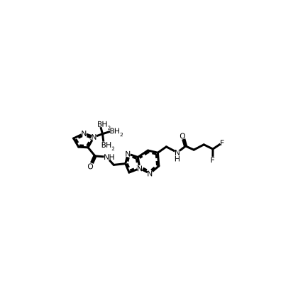 BC(B)(B)n1nccc1C(=O)NCc1cn2ncc(CNC(=O)CCC(F)F)cc2n1